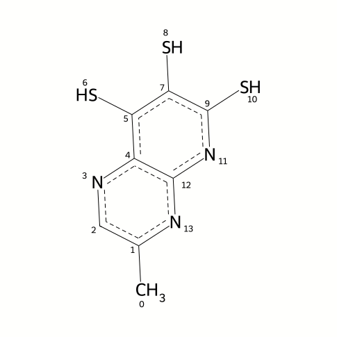 Cc1cnc2c(S)c(S)c(S)nc2n1